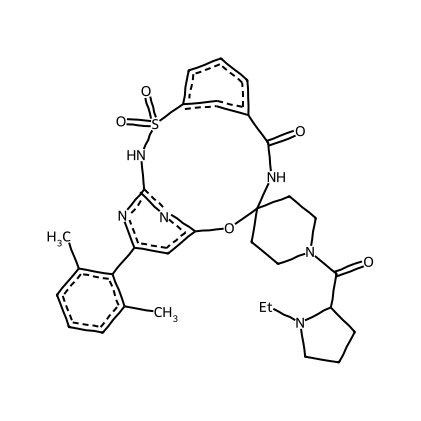 CCN1CCCC1C(=O)N1CCC2(CC1)NC(=O)c1cccc(c1)S(=O)(=O)Nc1nc(cc(-c3c(C)cccc3C)n1)O2